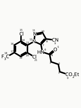 CCOC(=O)CCCC(=O)Nc1c(C#N)cnn1-c1c(Cl)cc(C(F)(F)F)cc1Cl